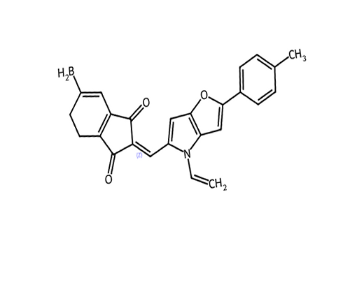 BC1=CC2=C(CC1)C(=O)/C(=C/c1cc3oc(-c4ccc(C)cc4)cc3n1C=C)C2=O